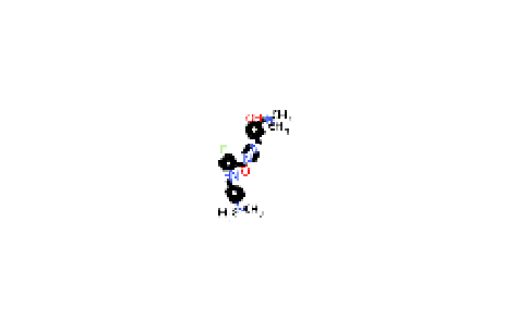 CN(C)Cc1cc(CN2CCN(C(=O)c3cc(F)ccc3NCc3ccc(N(C)C)cc3)CC2)ccc1O